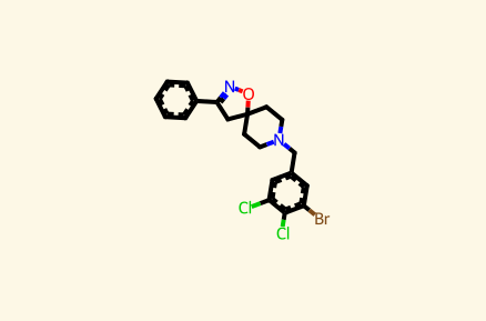 Clc1cc(CN2CCC3(CC2)CC(c2ccccc2)=NO3)cc(Br)c1Cl